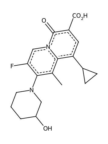 Cc1c(N2CCCC(O)C2)c(F)cn2c(=O)c(C(=O)O)cc(C3CC3)c12